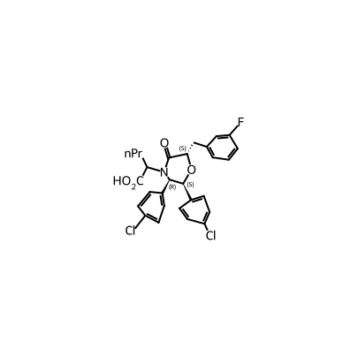 CCCC(C(=O)O)N1C(=O)[C@H](Cc2cccc(F)c2)O[C@@H](c2ccc(Cl)cc2)[C@H]1c1ccc(Cl)cc1